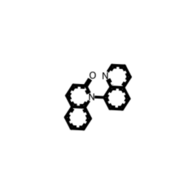 O=c1ccc2ccccc2n1-c1cccc2cccnc12